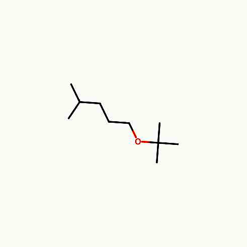 C[C](C)CCCOC(C)(C)C